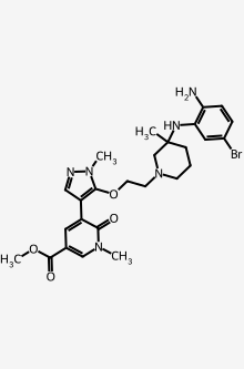 COC(=O)c1cc(-c2cnn(C)c2OCCN2CCCC(C)(Nc3cc(Br)ccc3N)C2)c(=O)n(C)c1